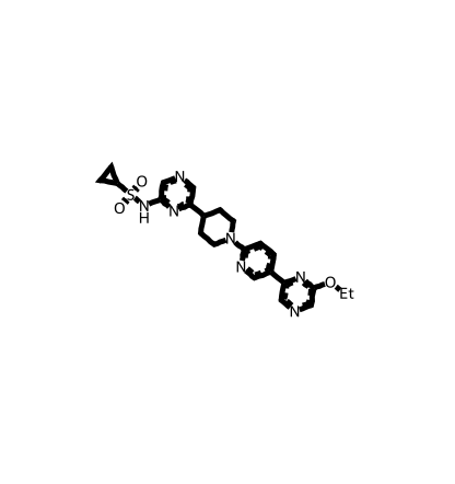 CCOc1cncc(-c2ccc(N3CCC(c4cncc(NS(=O)(=O)C5CC5)n4)CC3)nc2)n1